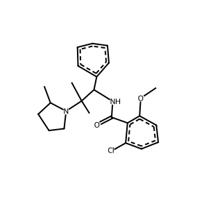 COc1cccc(Cl)c1C(=O)NC(c1ccccc1)C(C)(C)N1CCCC1C